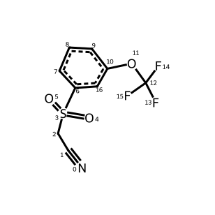 N#CCS(=O)(=O)c1cccc(OC(F)(F)F)c1